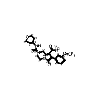 NC(=O)c1c(-c2cccc(OC(F)(F)F)c2)c(Cl)n2c1CN(C(=O)NC1CCOCC1)CC2